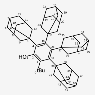 CC(C)(C)c1c(O)c(C23CC4CC(CC(C4)C2)C3)c(C23CC4CC(CC(C4)C2)C3)c(C23CC4CC(CC(C4)C2)C3)c1C12CC3CC(CC(C3)C1)C2